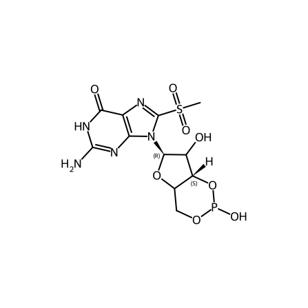 CS(=O)(=O)c1nc2c(=O)[nH]c(N)nc2n1[C@@H]1OC2COP(O)O[C@H]2C1O